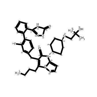 CCCCc1c(Cc2ccc(-c3ccccc3-c3noc(=O)[nH]3)c(F)c2)c(=O)n([C@H]2CC[C@H](OCC(C)(C)O)CC2)c2ccnn12